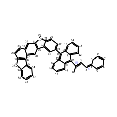 C/C(=C\C=C1\C=CC=CC1)c1c2ccccc2c(-c2ccc3sc4cc5ccc6sc7ccccc7c6c5cc4c3c2)c2ccccc12